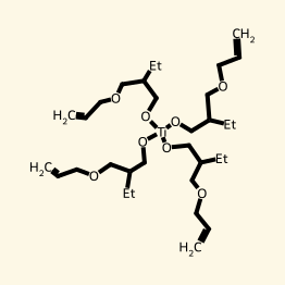 C=CCOCC(CC)C[O][Ti]([O]CC(CC)COCC=C)([O]CC(CC)COCC=C)[O]CC(CC)COCC=C